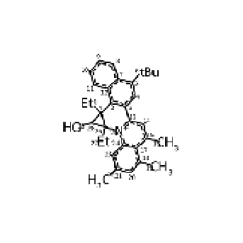 CCC12c3c(cc(C(C)(C)C)c4ccccc34)-c3cc(C)c4c(C)cc(C)cc4[n+]3C1(CC)C2O